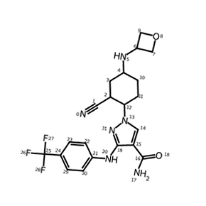 N#CC1CC(NC2COC2)CCC1n1cc(C(N)=O)c(Nc2ccc(C(F)(F)F)cc2)n1